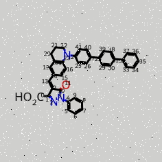 O=C(O)C1=NN(c2ccccc2)C(=O)/C1=C\c1ccc2c(c1)CCCN2c1ccc(-c2ccc(-c3ccccc3)cc2)cc1